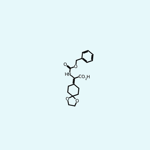 O=C(NC(C(=O)O)=C1CCC2(CC1)OCCO2)OCc1ccccc1